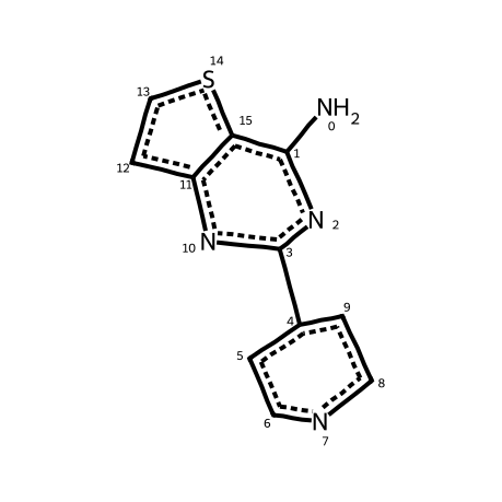 Nc1nc(-c2ccncc2)nc2ccsc12